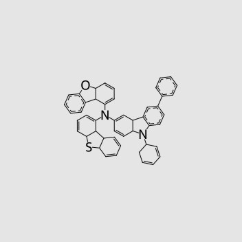 C1=CCC(N2c3ccc(-c4ccccc4)cc3C3C=C(N(C4=CC=CC5Oc6ccccc6C45)C4=CC=CC5SC6C=CC=CC6C45)C=CC32)C=C1